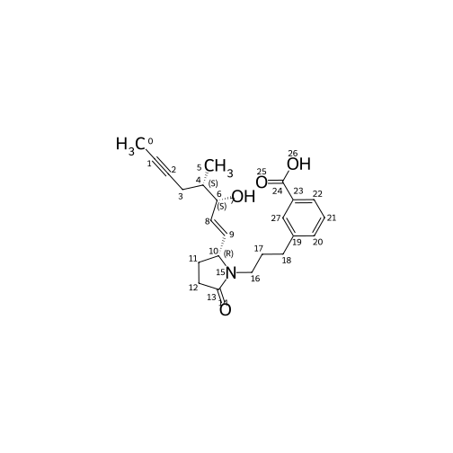 CC#CC[C@H](C)[C@H](O)C=C[C@H]1CCC(=O)N1CCCc1cccc(C(=O)O)c1